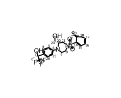 C[C@](O)(c1ccc(N2CCN(S(=O)(=O)C3=CC=CCC3=S)C[C@H]2CO)cc1)C(F)(F)F